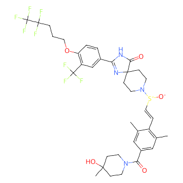 Cc1cc(C(=O)N2CCC(C)(O)CC2)cc(C)c1/C=C/[S+]([O-])N1CCC2(CC1)N=C(c1ccc(OCCCC(F)(F)C(F)(F)F)c(C(F)(F)F)c1)NC2=O